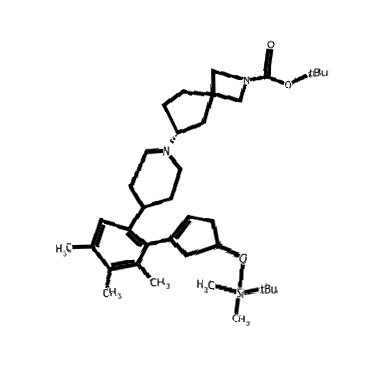 Cc1cc(C2CCN([C@@H]3CCC4(C3)CN(C(=O)OC(C)(C)C)C4)CC2)c(C2=CCC(O[Si](C)(C)C(C)(C)C)C2)c(C)c1C